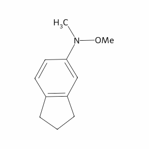 CON(C)c1ccc2c(c1)CCC2